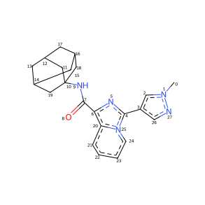 Cn1cc(-c2nc(C(=O)NC34CC5CC(CC(C5)C3)C4)c3ccccn23)cn1